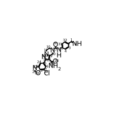 N=Cc1ccc(NC(=O)N2CCn3nc(-c4cc(Cl)c5ocnc5c4)c(C(N)=O)c3C2)cc1